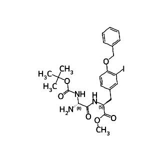 COC(=O)[C@H](Cc1ccc(OCc2ccccc2)c(I)c1)NC(=O)[C@H](N)NC(=O)OC(C)(C)C